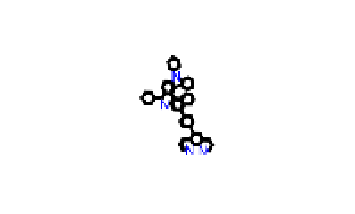 c1ccc(-c2nc3cc(-c4ccc(-c5cc6cccnc6c6ncccc56)cc4)c4ccccc4c3c3c2ccc2c3c3ccccc3n2-c2ccccc2)cc1